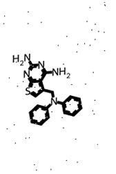 Nc1nc(N)c2c(CN(c3ccccc3)c3ccccc3)csc2n1